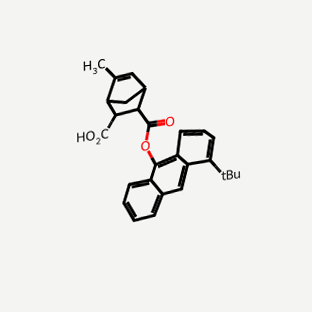 CC1=CC2CC1C(C(=O)O)C2C(=O)Oc1c2ccccc2cc2c(C(C)(C)C)cccc12